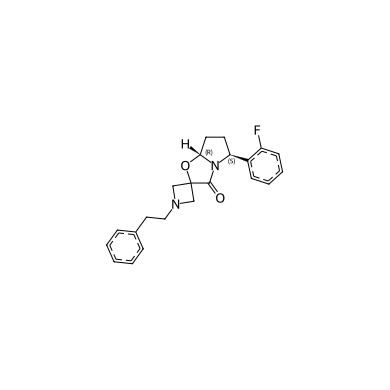 O=C1N2[C@@H](CC[C@H]2c2ccccc2F)OC12CN(CCc1ccccc1)C2